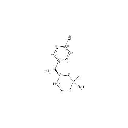 CC1(O)CCN[C@@H](Cc2ccc(Cl)cc2)C1.Cl